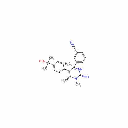 C=C1[C@@H](c2ccc(C(C)(C)O)cc2)[C@@](C)(c2cccc(C#N)c2)NC(=N)N1C